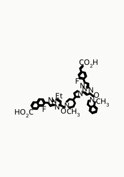 CCc1cc(C(=O)N2CCC(C3CCN(c4cc(C(=O)N5CCc6ccccc6[C@H]5C)nc5cc(-c6ccc(/C=C/C(=O)O)cc6F)nn45)C3)CC[C@H]2C)nc2cc(-c3ccc4ccc(C(=O)O)cc4c3F)nn12